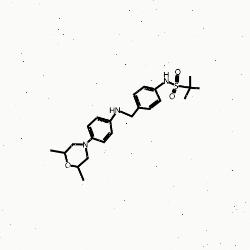 CC1CN(c2ccc(NCc3ccc(NS(=O)(=O)C(C)(C)C)cc3)cc2)CC(C)O1